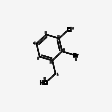 OCc1cccc(Cl)c1Br